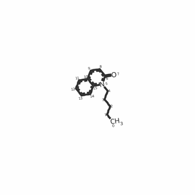 CCCCCn1c(=O)ccc2ccccc21